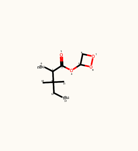 CCCCC(C(=O)OC1COO1)C(C)(C)CC(C)(C)C